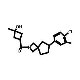 Cc1cc(C2CCC3(C2)CN(C(=O)C2CC(C)(O)C2)C3)ccc1Cl